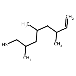 C=CC(C)CC(C)CC(C)CS